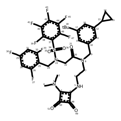 CN(C)c1c(NCCN(Cc2cc(C3CC3)cc(C(C)(C)C)c2)C(=O)CN(Cc2c(F)cc(F)cc2F)S(=O)(=O)c2c(F)c(F)c(F)c(F)c2F)c(=O)c1=O